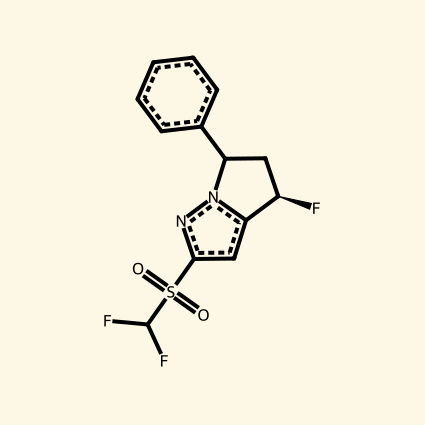 O=S(=O)(c1cc2n(n1)C(c1ccccc1)C[C@H]2F)C(F)F